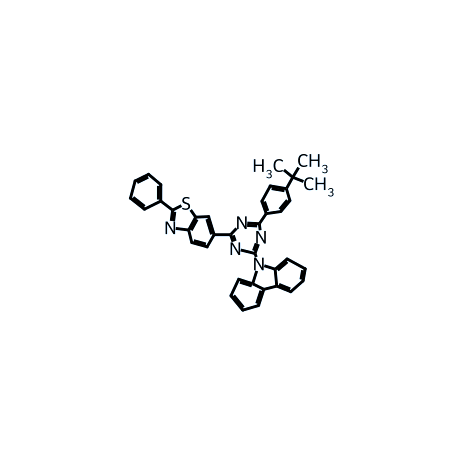 CC(C)(C)c1ccc(-c2nc(-c3ccc4nc(-c5ccccc5)sc4c3)nc(-n3c4ccccc4c4ccccc43)n2)cc1